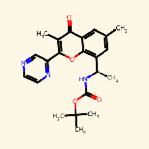 Cc1cc([C@@H](C)NC(=O)OC(C)(C)C)c2oc(-c3cnccn3)c(C)c(=O)c2c1